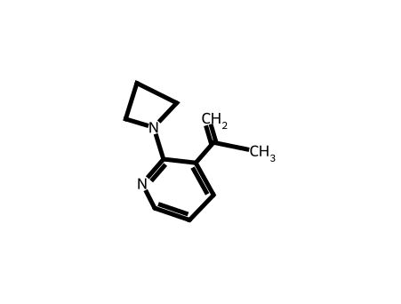 C=C(C)c1cccnc1N1CCC1